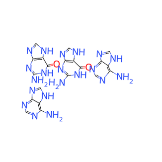 Nc1nc2nc[nH]c2c(=O)[nH]1.Nc1nc2nc[nH]c2c(=O)[nH]1.Nc1ncnc2nc[nH]c12.Nc1ncnc2nc[nH]c12